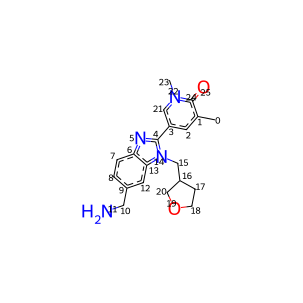 Cc1cc(-c2nc3ccc(CN)cc3n2CC2CCOC2)cn(C)c1=O